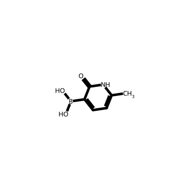 Cc1ccc(B(O)O)c(=O)[nH]1